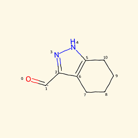 O=[C]c1n[nH]c2c1CCCC2